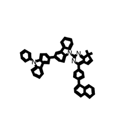 CC1(C)C=Cc2c(-c3ccc(-c4cccc5ccccc45)cc3)nc(-n3c4ccccc4c4cc(-c5ccc6c(c5)c5ccccc5n6-c5ccccc5)ccc43)nc21